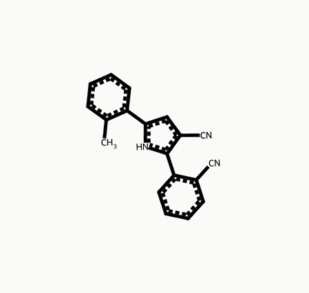 Cc1ccccc1-c1cc(C#N)c(-c2ccccc2C#N)[nH]1